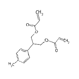 C=CC(=O)OCC(COC(=O)C=C)c1ccc(C)cc1